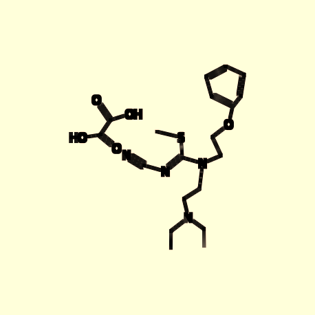 CCN(CC)CCN(CCOc1ccccc1)C(=NC#N)SC.O=C(O)C(=O)O